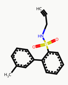 C#CCNS(=O)(=O)c1ccccc1-c1cccc(C)c1